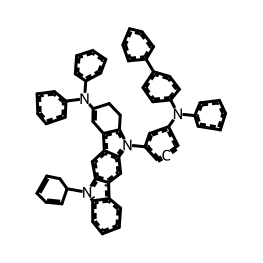 C1=CCC(n2c3ccccc3c3cc4c(cc32)c2c(n4-c3cccc(N(c4ccccc4)c4ccc(-c5ccccc5)cc4)c3)CCC(N(c3ccccc3)c3ccccc3)=C2)C=C1